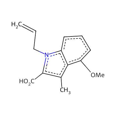 C=CCn1c(C(=O)O)c(C)c2c(OC)cccc21